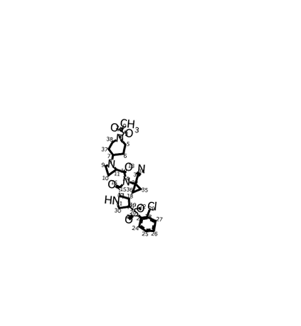 CS(=O)(=O)N1CCC(N2CCC2C(=O)N(C(=O)[C@@H]2C[C@@H](S(=O)(=O)c3ccccc3Cl)CN2)C2(C#N)CC2)CC1